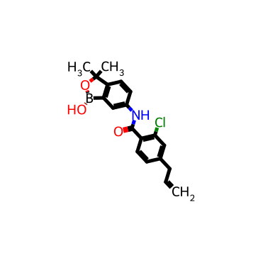 C=CCc1ccc(C(=O)Nc2ccc3c(c2)B(O)OC3(C)C)c(Cl)c1